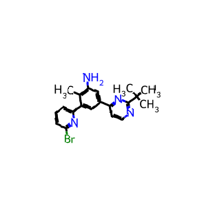 Cc1c(N)cc(-c2ccnc(C(C)(C)C)n2)cc1-c1cccc(Br)n1